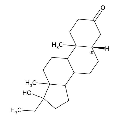 CCC1(O)CCC2C3CC[C@H]4CC(=O)CCC4(C)C3CCC21C